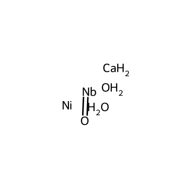 O.O.[CaH2].[Ni].[O]=[Nb]